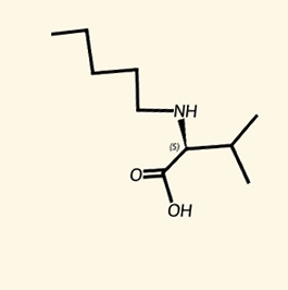 CCCCCN[C@H](C(=O)O)C(C)C